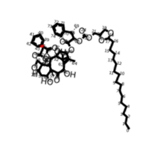 CCCCCCCCCCCCCCCCCC1OCC(COC(=O)O[C@@H](C(=O)O[C@H]2C[C@@]3(O)[C@@H](OC(=O)c4ccccc4)[C@@H]4[C@]5(OC(C)=O)CO[C@@H]5C[C@H](O)[C@@]4(C)C(=O)[C@H](O)C(=C2C)C3(C)C)[C@@H](C)c2ccccc2)O1